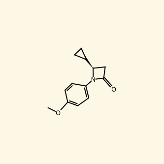 COc1ccc(N2C(=O)C[C@@H]2C2CC2)cc1